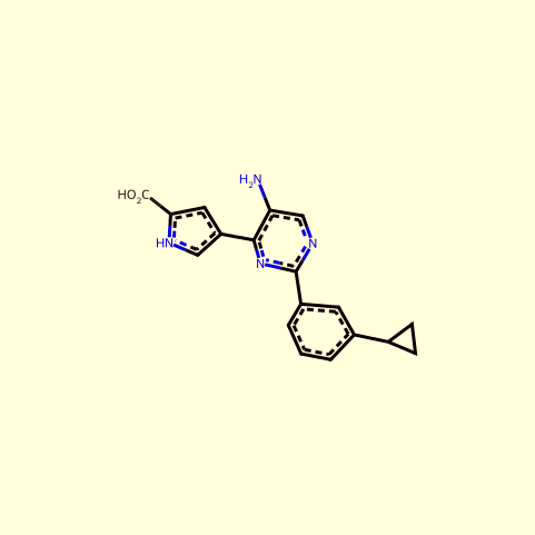 Nc1cnc(-c2cccc(C3CC3)c2)nc1-c1c[nH]c(C(=O)O)c1